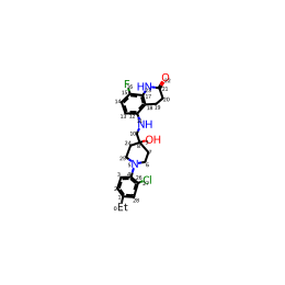 CCc1ccc(N2CCC(O)(CNc3ccc(F)c4c3CCC(=O)N4)CC2)c(Cl)c1